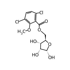 COc1c(Cl)ccc(Cl)c1C(=O)OC[C@H]1O[C@H](O)[C@H](O)[C@@H]1O